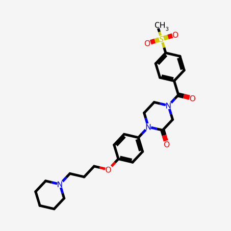 CS(=O)(=O)c1ccc(C(=O)N2CCN(c3ccc(OCCCN4CCCCC4)cc3)C(=O)C2)cc1